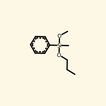 CCCO[Si](C)(OC)c1ccccc1